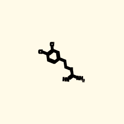 N=C(N)SCCc1ccc(Cl)c(Cl)c1